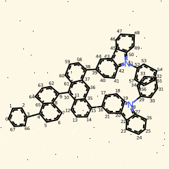 c1ccc(-c2cccc3c(-c4c5cccc(-c6ccc7c(c6)c6ccccc6n7-c6ccccc6)c5cc5c(-c6ccc7c(c6)c6ccccc6n7-c6ccccc6)cccc45)cccc23)cc1